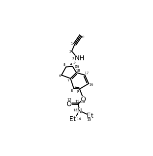 C#CCN[C@H]1CCc2cc(OC(=O)N(CC)CC)ccc21